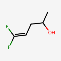 CC(O)CC=C(F)F